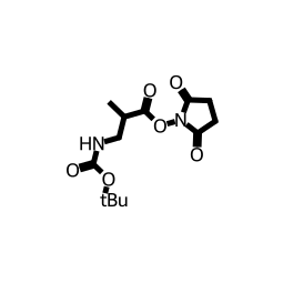 CC(CNC(=O)OC(C)(C)C)C(=O)ON1C(=O)CCC1=O